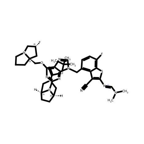 CN(C)/C=N/c1sc2c(F)ccc(Cn3cnc4c(OC[C@@]56CCCN5C[C@H](F)C6)nc(N5[C@@H]6CC[C@H]5CN(C(=O)OC(C)(C)C)C6)nc43)c2c1C#N